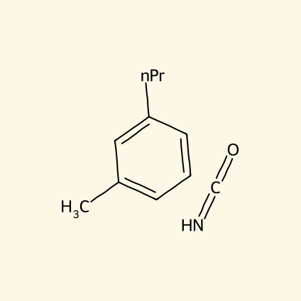 CCCc1cccc(C)c1.N=C=O